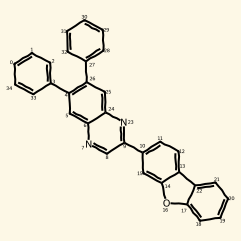 c1ccc(-c2cc3ncc(-c4ccc5c(c4)oc4ccccc45)nc3cc2-c2ccccc2)cc1